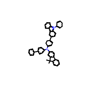 CC1(C)c2ccccc2-c2ccc(N(C3=CC=C(c4ccc5c(c4)c4ccccc4n5C4=CCCC=C4)CC3)c3ccc(-c4ccccc4)cc3)cc21